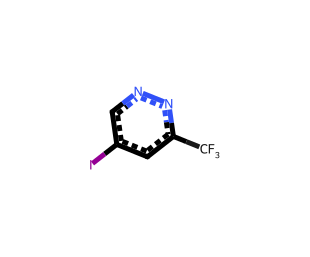 FC(F)(F)c1cc(I)cnn1